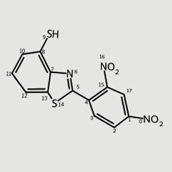 O=[N+]([O-])c1ccc(-c2nc3c(S)cccc3s2)c([N+](=O)[O-])c1